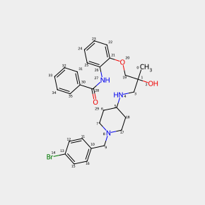 CC(O)(CNC1CCN(Cc2ccc(Br)cc2)CC1)COc1ccccc1NC(=O)c1ccccc1